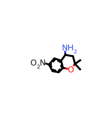 CC1(C)CC(N)c2cc([N+](=O)[O-])ccc2O1